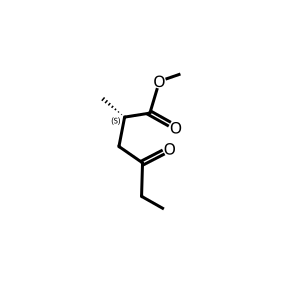 CCC(=O)C[C@H](C)C(=O)OC